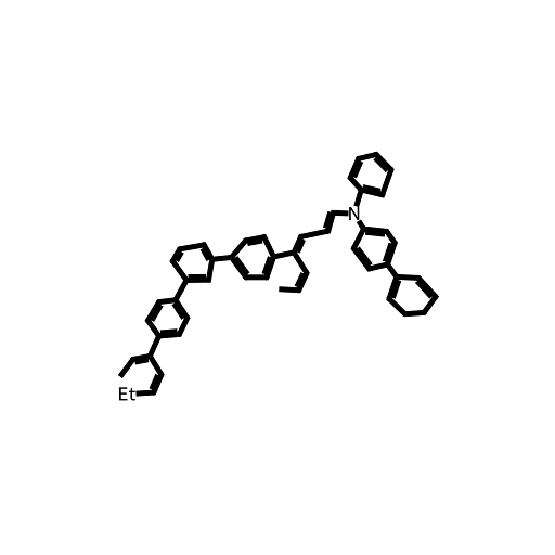 C\C=C/C(=C\C=C\N(c1ccccc1)c1ccc(C2=CCCC=C2)cc1)c1ccc(-c2cccc(-c3ccc(C(/C=C\CC)=C/C)cc3)c2)cc1